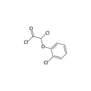 O=C(Cl)C(Cl)Oc1ccccc1Cl